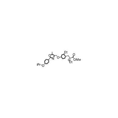 CCOC(Cc1ccc(OCc2nc(-c3ccc(OC(C)C)cc3)oc2C)cc1CC)C(=O)OC